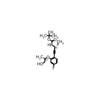 CC[C@H](C#Cc1ccc(F)cc1O[C@H](C)CO)NC(=O)OC(C)(C)C